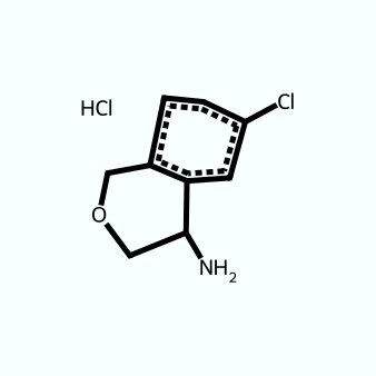 Cl.NC1COCc2ccc(Cl)cc21